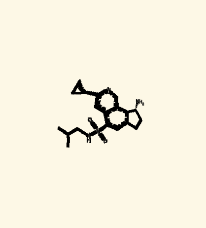 CC(C)CNS(=O)(=O)c1cc2c(c3cnc(C4CC4)cc13)[C@H](N)CC2